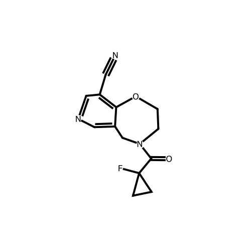 N#Cc1cncc2c1OCCN(C(=O)C1(F)CC1)C2